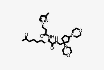 CC(=O)CCCCC[C@H](NC(=O)CCn1ccc(C)n1)C(=O)NCC1(N2CCOCC2)CCC(N2CCOCC2)C1